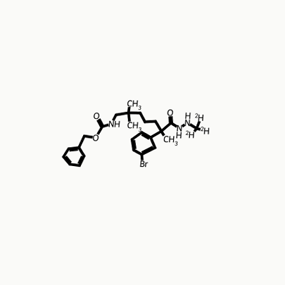 [2H]C([2H])([2H])NNC(=O)C(C)(CCCC(C)(C)CNC(=O)OCc1ccccc1)c1cccc(Br)c1